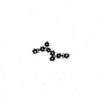 c1ccc(N(c2ccc(-c3ccc4c(c3)c3ccccc3n4-c3ccc(-c4nc5cccnc5o4)cc3)cc2)c2ccc(-c3nc4cccnc4o3)cc2)cc1